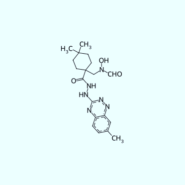 Cc1ccc2nc(NNC(=O)C3(CN(O)C=O)CCC(C)(C)CC3)nnc2c1